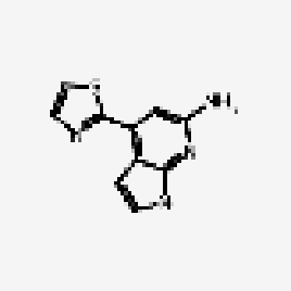 Nc1cc(-c2nccs2)c2c(n1)[N]C=C2